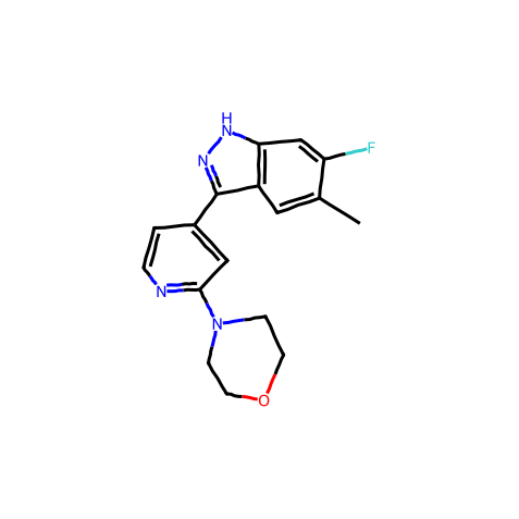 Cc1cc2c(-c3ccnc(N4CCOCC4)c3)n[nH]c2cc1F